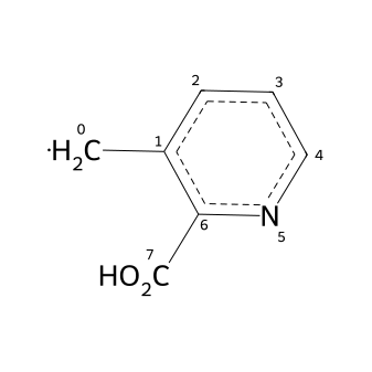 [CH2]c1cccnc1C(=O)O